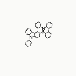 c1ccc(N2B(c3ccc4c(c3)c3ccccc3n4-c3ccccc3)c3ccccc3-c3ccccc32)cc1